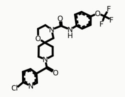 O=C(Nc1ccc(OC(F)(F)F)cc1)N1CCOC2(CCN(C(=O)c3ccc(Cl)nc3)CC2)C1